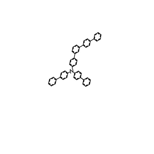 c1ccc(-c2ccc(-c3cccc(-c4ccc(N(c5ccc(-c6ccccc6)cc5)c5ccc(-c6ccccc6)cc5)cc4)c3)cc2)cc1